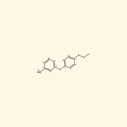 CCCc1ccc(Cc2cccc(O)c2)cc1